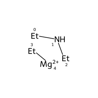 CCNCC.C[CH2][Mg+2]